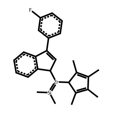 CC1=C(C)[CH]([Zr]([CH]2C=C(c3cccc(F)c3)c3ccccc32)=[Si](C)C)C(C)=C1C